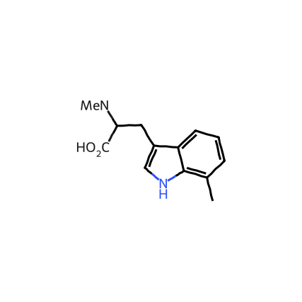 CNC(Cc1c[nH]c2c(C)cccc12)C(=O)O